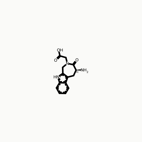 N[C@H]1Cc2c([nH]c3ccccc23)CN(CC(=O)O)C1=O